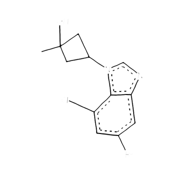 CC1(O)CC(n2cnc3cc(Br)cc(Cl)c32)C1